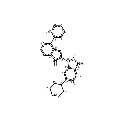 c1ccc(-c2nccc3[nH]c(-c4n[nH]c5cnc(C6CCNCC6)cc45)cc23)nc1